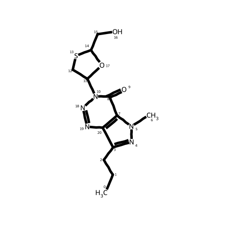 CCCc1nn(C)c2c(=O)n(C3CSC(CO)O3)nnc12